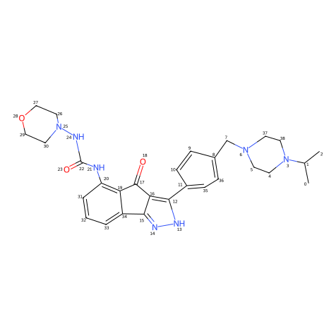 CC(C)N1CCN(Cc2ccc(-c3[nH]nc4c3C(=O)c3c(NC(=O)NN5CCOCC5)cccc3-4)cc2)CC1